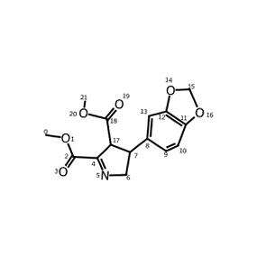 COC(=O)C1=NCC(c2ccc3c(c2)OCO3)C1C(=O)OC